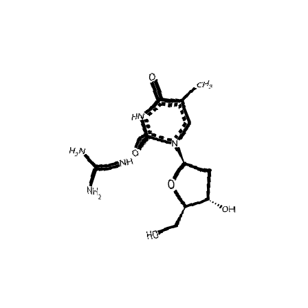 Cc1cn([C@H]2C[C@H](O)[C@@H](CO)O2)c(=O)[nH]c1=O.N=C(N)N